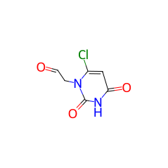 O=CCn1c(Cl)cc(=O)[nH]c1=O